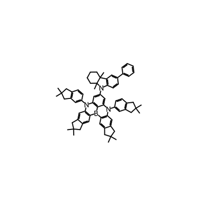 CC1(C)Cc2ccc(N3c4cc5c(cc4B4c6cc7c(cc6N(c6ccc8c(c6)CC(C)(C)C8)c6cc(N8c9ccc(-c%10ccccc%10)cc9C9(C)CCCCC89C)cc3c64)CC(C)(C)C7)CC(C)(C)C5)cc2C1